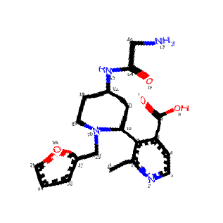 Cc1nccc(C(=O)O)c1C1CC(NC(=O)CN)CCN1Cc1ccco1